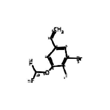 C=Cc1cc(Br)c(I)c(OC(F)F)c1